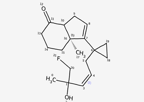 CC(O)(/C=C\CC1(C2=CCC3C(=O)CCC[C@]23C)CC1)CF